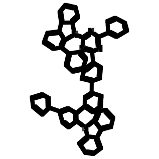 c1ccc(-c2ccc(-n3c4ccccc4c4ccccc43)c(-c3cccc(-c4ccc(-c5nc(-c6ccccc6)nc(-n6c7ccccc7c7cccc(-c8ccccc8)c76)n5)cc4)c3)c2)cc1